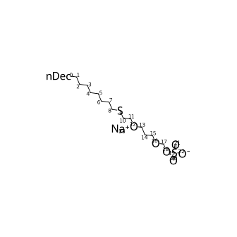 CCCCCCCCCCCCCCCCCCSCCOCCCOCOS(=O)(=O)[O-].[Na+]